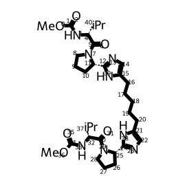 COC(=O)N[C@@H](C(=O)N1CCC[C@H]1c1ncc(CCCCCc2cnc([C@@H]3CCCN3C(=O)[C@H](NC(=O)OC)C(C)C)[nH]2)[nH]1)C(C)C